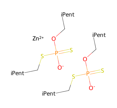 CCCC(C)COP([O-])(=S)SCC(C)CCC.CCCC(C)COP([O-])(=S)SCC(C)CCC.[Zn+2]